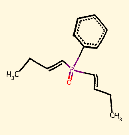 CCC=CP(=O)(C=CCC)c1ccccc1